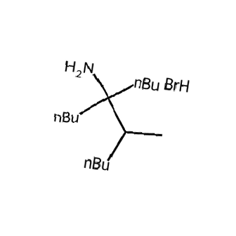 Br.CCCCC(C)C(N)(CCCC)CCCC